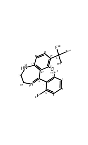 Fc1cccc(F)c1C1=NCCNc2ccc(C(F)(F)F)c(Cl)c21